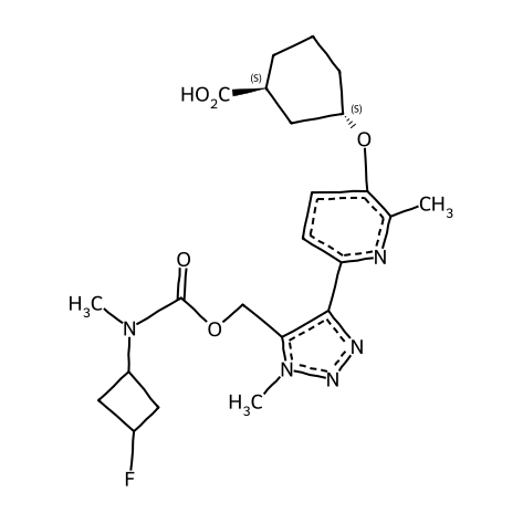 Cc1nc(-c2nnn(C)c2COC(=O)N(C)C2CC(F)C2)ccc1O[C@H]1CCC[C@H](C(=O)O)C1